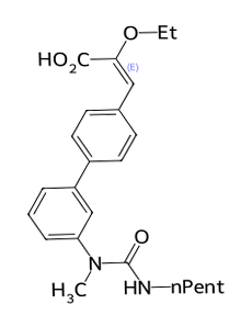 CCCCCNC(=O)N(C)c1cccc(-c2ccc(/C=C(/OCC)C(=O)O)cc2)c1